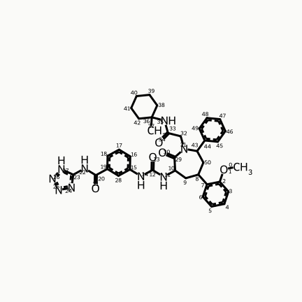 COc1ccccc1C1CC(NC(=O)Nc2cccc(C(=O)Nc3nnn[nH]3)c2)C(=O)N(CC(=O)NC2(C)CCCCC2)C(c2ccccc2)C1